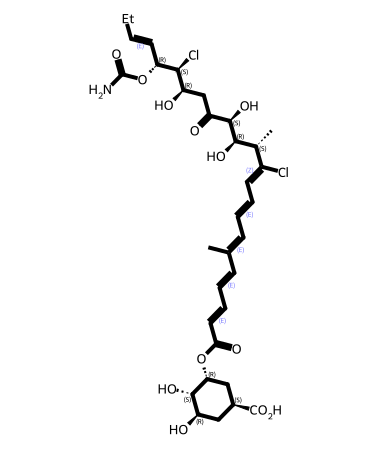 CC/C=C/[C@@H](OC(N)=O)[C@@H](Cl)[C@H](O)CC(=O)[C@@H](O)[C@H](O)[C@H](C)/C(Cl)=C/C=C/C=C(C)/C=C/C=C/C(=O)O[C@@H]1C[C@@H](C(=O)O)C[C@@H](O)[C@@H]1O